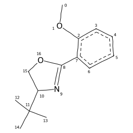 COc1ccccc1C1=NC(C(C)(C)C)CO1